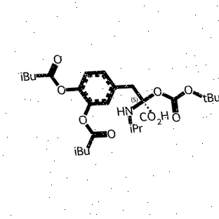 CCC(C)C(=O)Oc1ccc(C[C@](NC(C)C)(OC(=O)OC(C)(C)C)C(=O)O)cc1OC(=O)C(C)CC